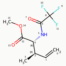 C=C[C@@H](C)[C@@H](NC(=O)C(F)(F)F)C(=O)OC